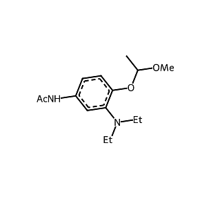 CCN(CC)c1cc(NC(C)=O)ccc1OC(C)OC